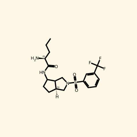 CCC[C@H](N)C(=O)NC1CC[C@@H]2CN(S(=O)(=O)c3cccc(C(F)(F)F)c3)CC12